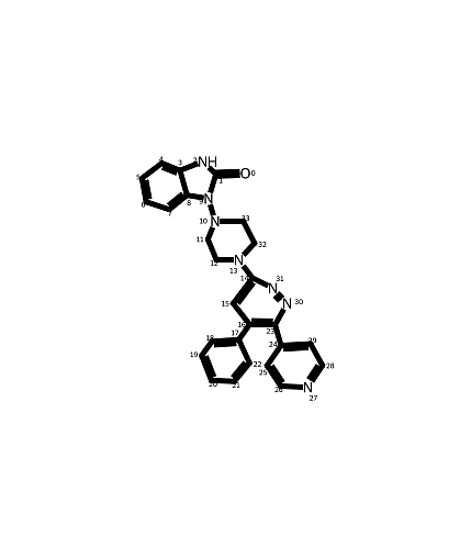 O=c1[nH]c2ccccc2n1N1CCN(c2cc(-c3ccccc3)c(-c3ccncc3)nn2)CC1